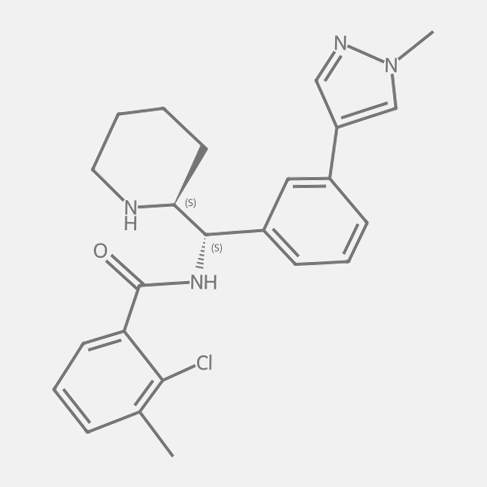 Cc1cccc(C(=O)N[C@@H](c2cccc(-c3cnn(C)c3)c2)[C@@H]2CCCCN2)c1Cl